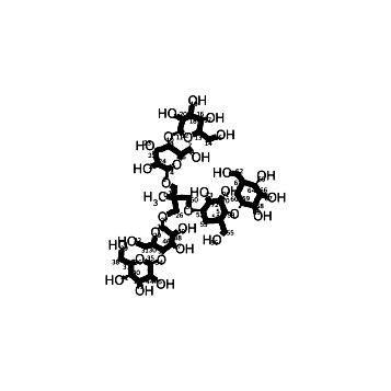 CC(CO[C@@H]1OC(CO)[C@@H](O[C@@H]2OC(CO)[C@H](O)C(O)C2O)C(O)C1O)(CO[C@@H]1OC(CO)[C@@H](O[C@@H]2OC(CO)[C@H](O)C(O)C2O)C(O)C1O)CO[C@@H]1CC(CO)[C@@H](O[C@@H]2CC(CO)[C@H](O)C(O)C2O)C(O)C1O